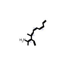 C=C\C=C/C=C\C=C(C)\C(C=C)=C(\C)N